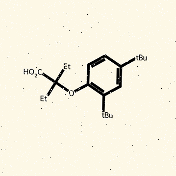 CCC(CC)(Oc1ccc(C(C)(C)C)cc1C(C)(C)C)C(=O)O